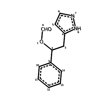 O=COC(Cc1ccn[nH]1)c1ccccc1